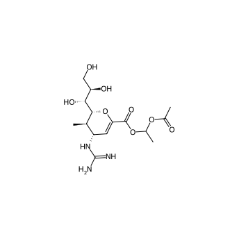 CC(=O)OC(C)OC(=O)C1=C[C@H](NC(=N)N)[C@@H](C)[C@H]([C@H](O)[C@H](O)CO)O1